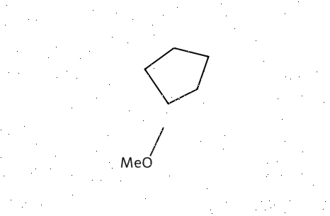 C1CCCC1.COC